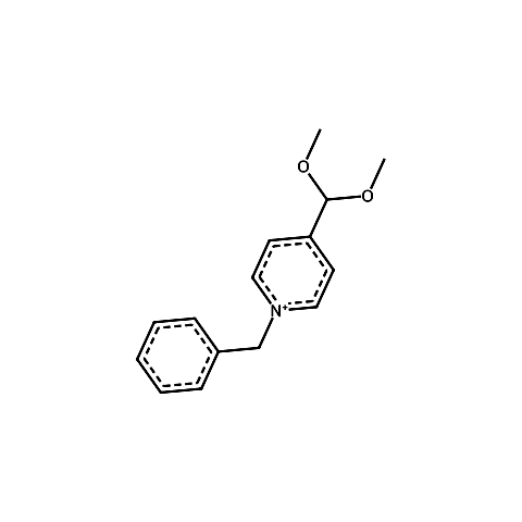 COC(OC)c1cc[n+](Cc2ccccc2)cc1